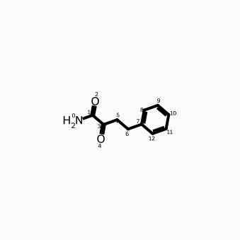 NC(=O)C(=O)[CH]Cc1ccccc1